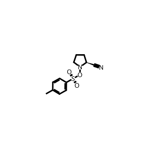 Cc1ccc(S(=O)(=O)ON2CCC[C@H]2C#N)cc1